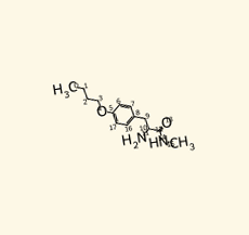 CCCCOc1ccc(CC(N)C(=O)NC)cc1